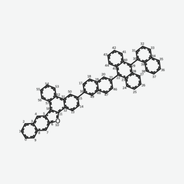 c1ccc2cc3c(cc2c1)oc1c2ccc(-c4ccc5cc(-c6c7ccccc7c(-c7cccc8ccccc78)c7ccccc67)ccc5c4)cc2c2ccccc2c31